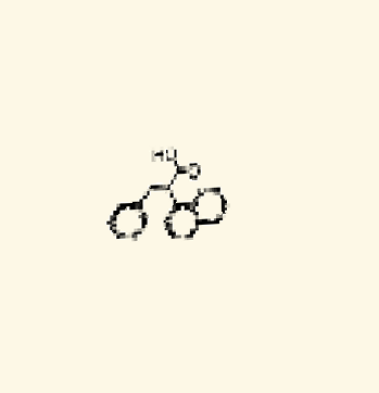 O=C(O)/C(=C/c1ccccc1)c1cccc2ccccc12